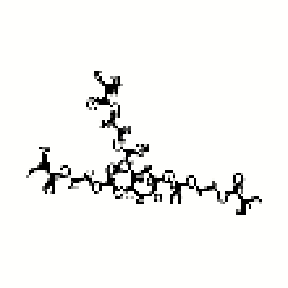 C=C(C)C(=O)OCCOC(=O)OC1CCC(OC(=O)OCCOC(=O)C(=C)C)C(OC(=O)OCCOC(=O)C(=C)C)C1